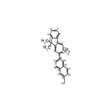 C=C(/C=C1\C(=C/C)c2ccccc2C1(C)C)c1ccc2cc(I)ccc2c1